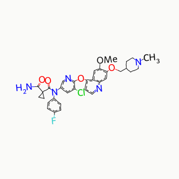 COc1cc2c(Oc3ncc(N(C(=O)C4(C(N)=O)CC4)c4ccc(F)cc4)cc3Cl)ccnc2cc1OCC1CCN(C)CC1